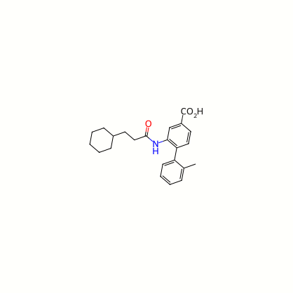 Cc1ccccc1-c1ccc(C(=O)O)cc1NC(=O)CCC1CCCCC1